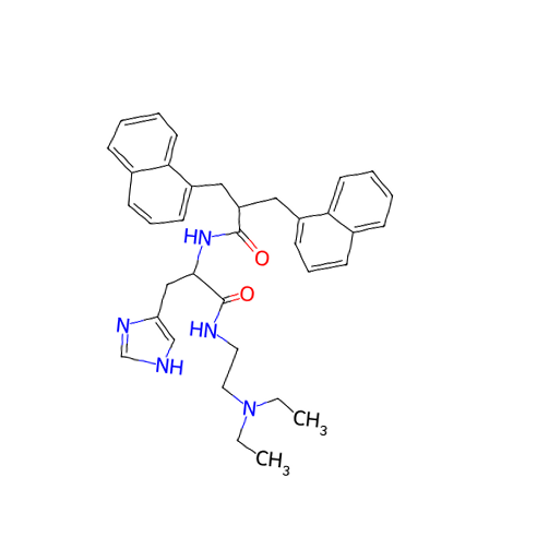 CCN(CC)CCNC(=O)C(Cc1c[nH]cn1)NC(=O)C(Cc1cccc2ccccc12)Cc1cccc2ccccc12